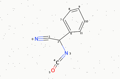 N#CC(N=C=O)c1ccccc1